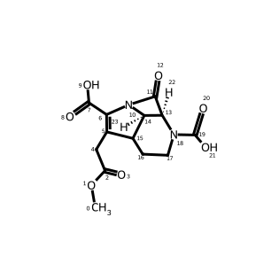 COC(=O)CC1=C(C(=O)O)N2C(=O)[C@@H]3[C@H]2C1CCN3C(=O)O